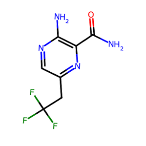 NC(=O)c1nc(CC(F)(F)F)cnc1N